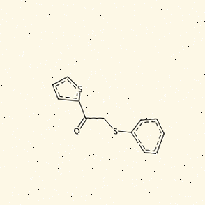 O=C(CSc1ccccc1)c1cccs1